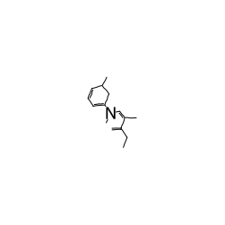 C=C(CC)/C(C)=C\N(C)C1=CC=CC(C)C1